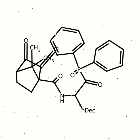 CCCCCCCCCCC(NC(=O)C12CCC(C(=O)C1=O)C2(C)C)C(=O)P(=O)(c1ccccc1)c1ccccc1